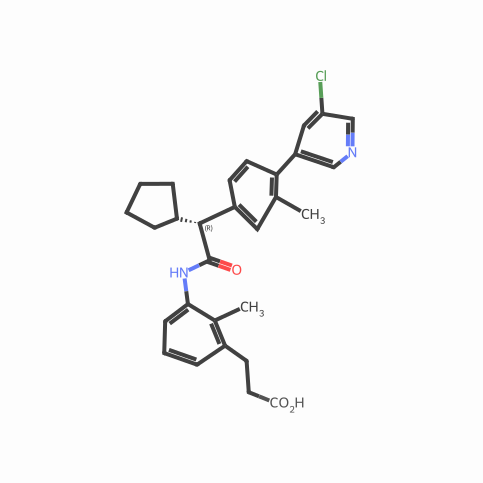 Cc1cc([C@H](C(=O)Nc2cccc(CCC(=O)O)c2C)C2CCCC2)ccc1-c1cncc(Cl)c1